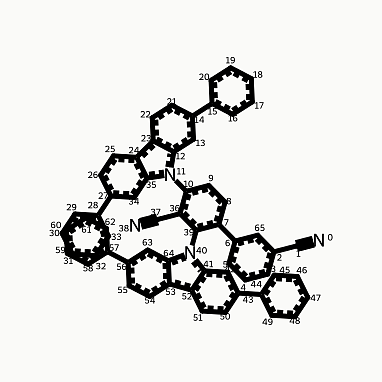 N#Cc1cccc(-c2ccc(-n3c4cc(-c5ccccc5)ccc4c4ccc(-c5ccccc5)cc43)c(C#N)c2-n2c3cc(-c4ccccc4)ccc3c3ccc(-c4ccccc4)cc32)c1